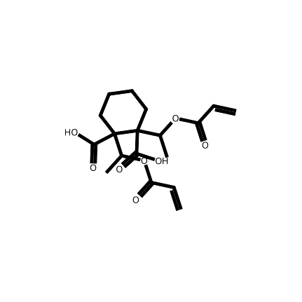 C=CC(=O)OC(C)C1(C(=O)O)CCCCC1(C(=O)O)C(C)OC(=O)C=C